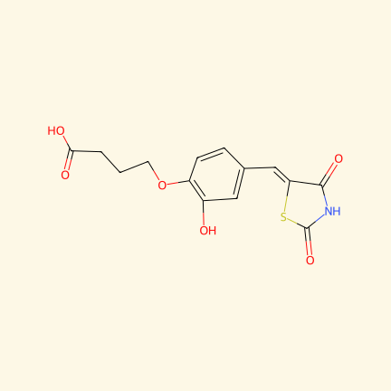 O=C(O)CCCOc1ccc(/C=C2\SC(=O)NC2=O)cc1O